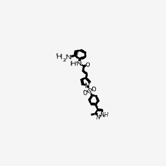 Cc1n[nH]cc1-c1ccc(S(=O)(=O)n2ccc(/C=C/C(=O)Nc3ccccc3N)c2)cc1